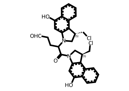 O=CCCC(C(=O)N1C[C@@H](CCl)c2c1cc(O)c1ccccc21)N1C[C@@H](CCl)c2c1cc(O)c1ccccc21